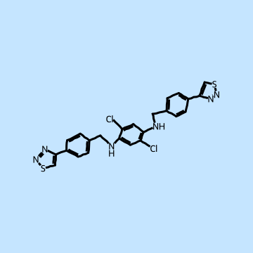 Clc1cc(NCc2ccc(-c3csnn3)cc2)c(Cl)cc1NCc1ccc(-c2csnn2)cc1